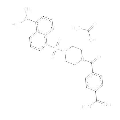 CC(=O)O.CN(C)c1cccc2c(S(=O)(=O)N3CCN(C(=O)c4ccc(C(=N)N)cc4)CC3)cccc12